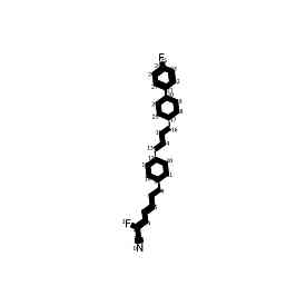 N#CC(F)=CC=CCC[C@H]1CC[C@H](CCCC[C@H]2CC[C@H](c3ccc(F)cc3)CC2)CC1